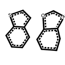 c1ccc2ocnc2c1.c1ccc2sccc2c1